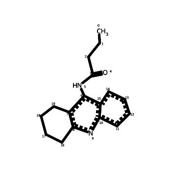 CCCC(=O)Nc1c2c(nc3ccccc13)CCCC2